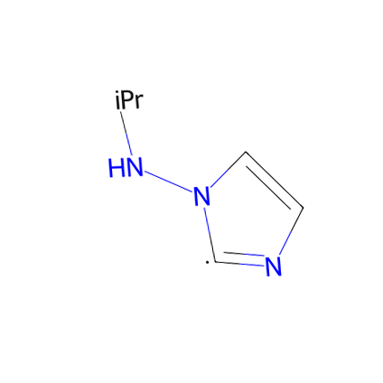 CC(C)Nn1[c]ncc1